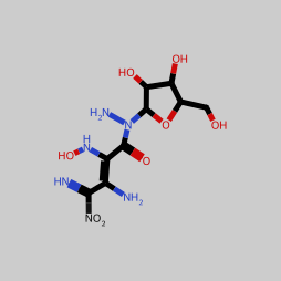 N=C(/C(N)=C(\NO)C(=O)N(N)C1OC(CO)C(O)C1O)[N+](=O)[O-]